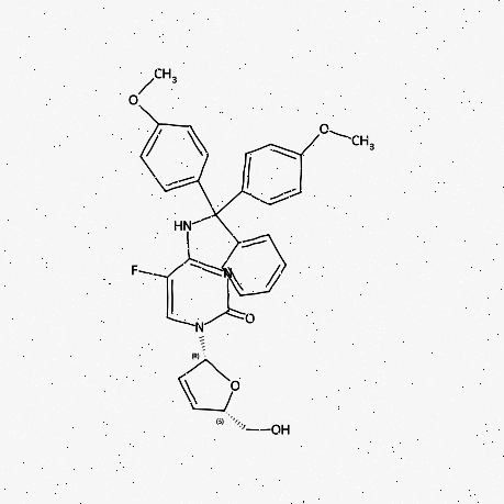 COc1ccc(C(Nc2nc(=O)n([C@H]3C=C[C@@H](CO)O3)cc2F)(c2ccccc2)c2ccc(OC)cc2)cc1